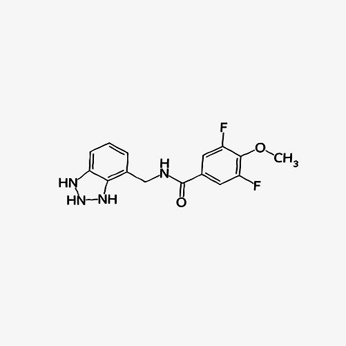 COc1c(F)cc(C(=O)NCc2cccc3c2NNN3)cc1F